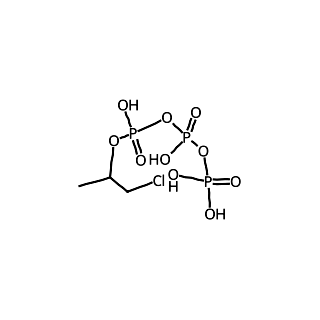 CC(CCl)OP(=O)(O)OP(=O)(O)OP(=O)(O)O